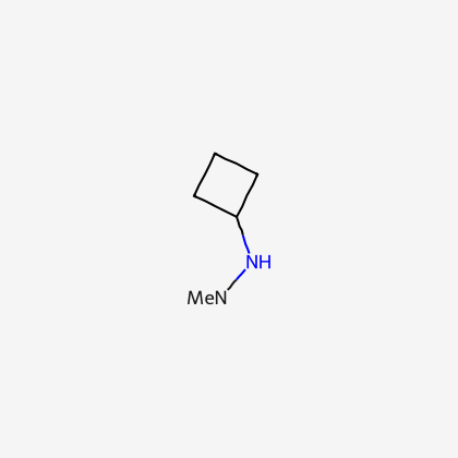 CNNC1CCC1